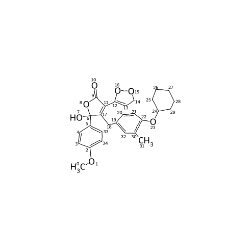 COc1ccc(C2(O)OC(=O)C(C3=CCOO3)=C2Cc2ccc(OC3CCCCC3)c(C)c2)cc1